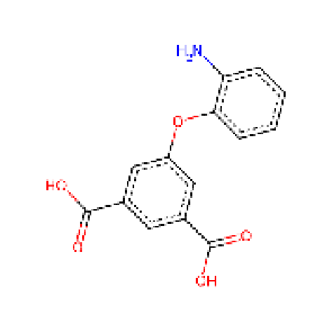 Nc1ccccc1Oc1cc(C(=O)O)cc(C(=O)O)c1